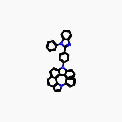 c1ccc(-n2ccc3ccc4ccc5c(c6ccccc6n5-c5ccc(-c6nc7ccccc7n6-c6ccccc6)cc5)c4c32)cc1